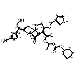 CC(OC(=O)OC1CCCCC1)OC(=O)C1=C(SCc2cn[nH]c2)CS[C@H]2[C@H](NC(=O)/C(=N\O)c3csc(N)n3)C(=O)N12